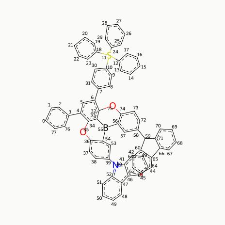 c1ccc(-c2cc(-c3ccc(S(c4ccccc4)(c4ccccc4)c4ccccc4)cc3)c3c4c2Oc2ccc(-n5c6ccccc6c6ccccc65)cc2B4c2cc(C4c5ccccc5-c5ccccc54)ccc2O3)cc1